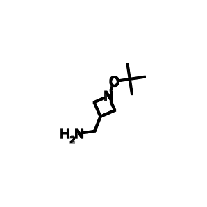 CC(C)(C)ON1CC(CN)C1